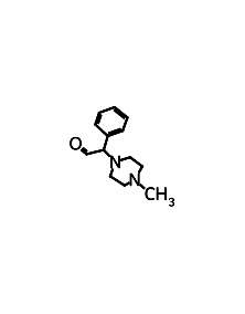 CN1CCN(C(C=O)c2ccccc2)CC1